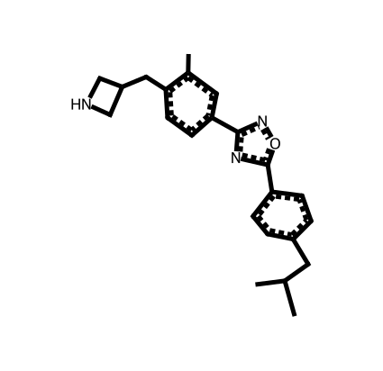 Cc1cc(-c2noc(-c3ccc(CC(C)C)cc3)n2)ccc1CC1CNC1